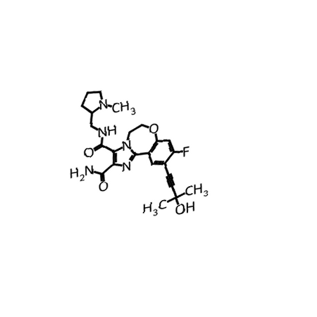 CN1CCCC1CNC(=O)c1c(C(N)=O)nc2n1CCOc1cc(F)c(C#CC(C)(C)O)cc1-2